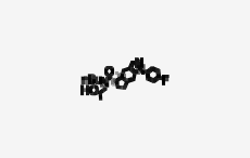 CCCCN(CC(C)O)C(=O)[C@H]1CCC2=Cc3c(cnn3-c3ccc(F)cc3)C[C@@]21C